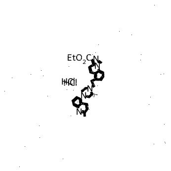 CCOC(=O)c1ncn2c1ccc1c(CCN3CCN(c4cccc5nc(C)ccc45)C[C@H]3C)cccc12.Cl.Cl